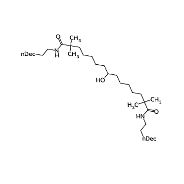 CCCCCCCCCCCCNC(=O)C(C)(C)CCCCCC(O)CCCCCC(C)(C)C(=O)NCCCCCCCCCCCC